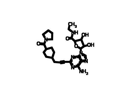 CCNC(=O)C1OC(n2cnc3c(N)nc(C#CCC4CCC(C(=O)N5CCCC5)CC4)nc32)C(O)C1O